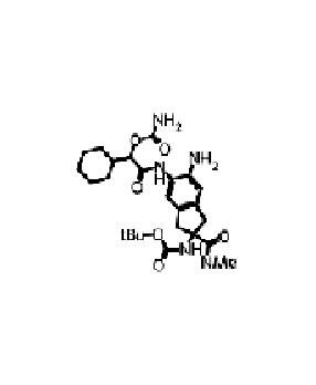 CNC(=O)C1(NC(=O)OC(C)(C)C)Cc2cc(N)c(NC(=O)C(OC(N)=O)C3CCCCC3)cc2C1